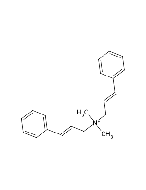 C[N+](C)(CC=Cc1ccccc1)CC=Cc1ccccc1